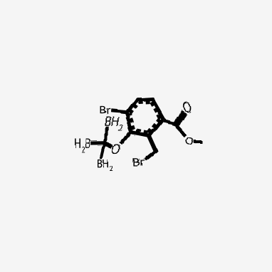 BC(B)(B)Oc1c(Br)ccc(C(=O)OC)c1CBr